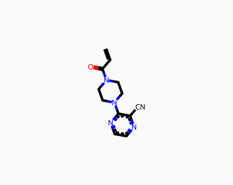 C=CC(=O)N1CCN(c2nccnc2C#N)CC1